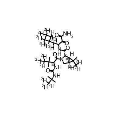 [2H]C([2H])([2H])C(C)(C)NC(=O)N[C@H](C(=O)N1C[C@H]2[C@@H]([C@H]1C(=O)NC(C(=O)C(N)=O)C([2H])([2H])C1([2H])C([2H])([2H])C([2H])([2H])C1([2H])[2H])C2(C)C([2H])([2H])[2H])C(C)(C)C([2H])([2H])[2H]